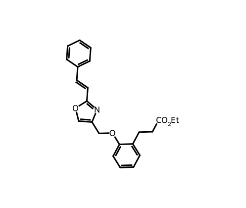 CCOC(=O)CCc1ccccc1OCc1coc(/C=C/c2ccccc2)n1